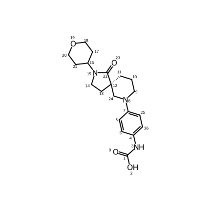 O=C(O)Nc1ccc(N2CCC[C@@]3(CCN(C4CCOCC4)C3=O)C2)cc1